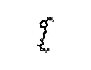 CC(=NOCC=Cc1cccc(N)c1)C(=O)O